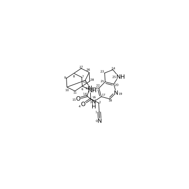 N#CCC(=O)NC12CC3CC(C1)C(n1c(=O)[nH]c4cnc5c(c41)CCN5)C(C3)C2